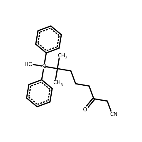 CC(C)(CCCC(=O)CC#N)[Si](O)(c1ccccc1)c1ccccc1